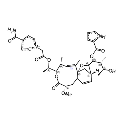 CO[C@H]1CC2C=C[C@@H]3C[C@]2(O[C@H]3[C@H](OC(=O)c2ccc[nH]2)[C@H](C)[C@H](C)O)/C(C)=C/[C@@H](C)[C@@H]([C@@H](C)OC(=O)C[n+]2ccc(C(N)=O)cc2)OC1=O